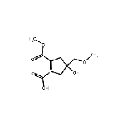 COCC1(O)CC(C(=O)OC)N(C(=O)O)C1